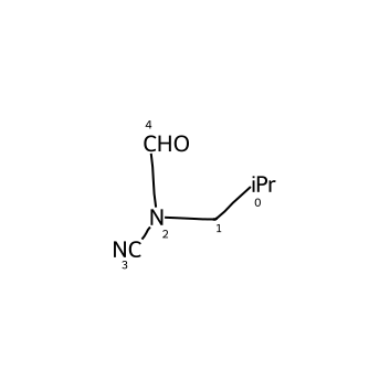 CC(C)CN(C#N)C=O